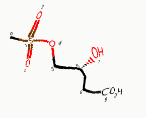 CS(=O)(=O)OC[C@H](O)CC(=O)O